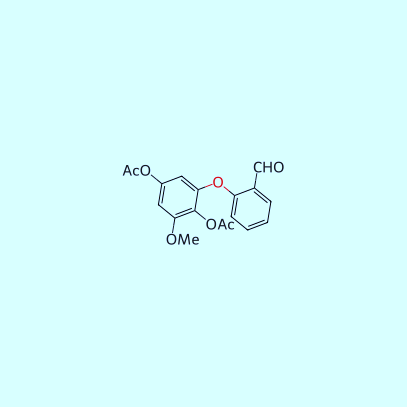 COc1cc(OC(C)=O)cc(Oc2ccccc2C=O)c1OC(C)=O